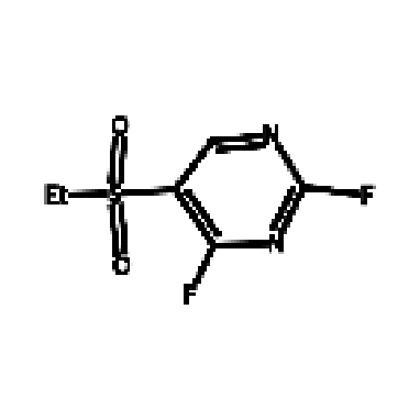 CCS(=O)(=O)c1cnc(F)nc1F